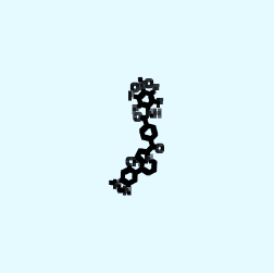 Cn1cnc2cc(-c3cccn4c(C(=O)c5ccc(C(=O)Nc6c(F)c(F)c(S(C)(=O)=O)c(F)c6F)cc5)ccc34)c(C(F)(F)F)cc21